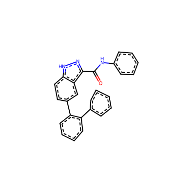 O=C(Nc1ccccc1)c1n[nH]c2ccc(-c3ccccc3-c3ccccc3)cc12